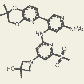 CC(=O)Nc1cc(Nc2cc(N3CC(C)(O)C3)cc(S(C)(=O)=O)n2)c(-c2ccc3c(n2)OCC(C)(C)O3)cn1